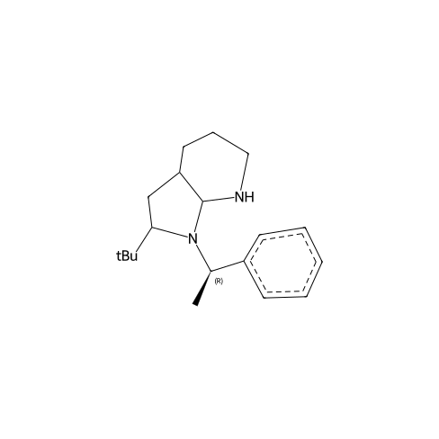 C[C@H](c1ccccc1)N1C2NCCCC2CC1C(C)(C)C